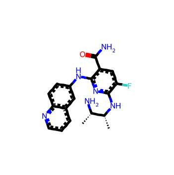 C[C@H](N)[C@@H](C)Nc1nc(Nc2ccc3ncccc3c2)c(C(N)=O)cc1F